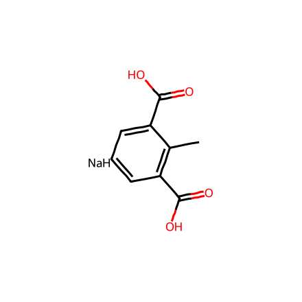 Cc1c(C(=O)O)cccc1C(=O)O.[NaH]